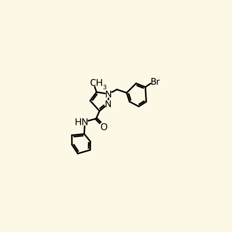 Cc1cc(C(=O)Nc2ccccc2)nn1Cc1cccc(Br)c1